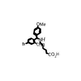 COc1ccc(C(NCCCCCC(=O)O)c2ccc(Br)cc2C=O)cc1